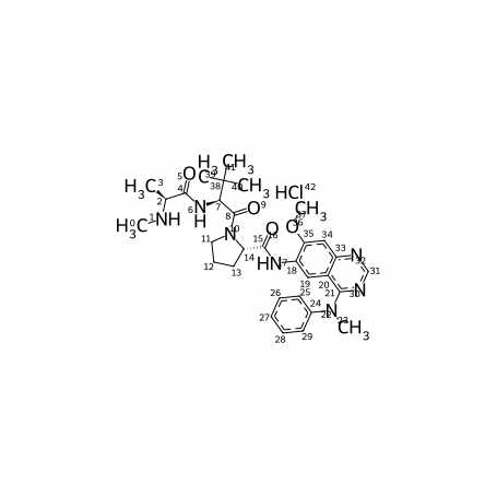 CN[C@@H](C)C(=O)N[C@H](C(=O)N1CCC[C@H]1C(=O)Nc1cc2c(N(C)c3ccccc3)ncnc2cc1OC)C(C)(C)C.Cl